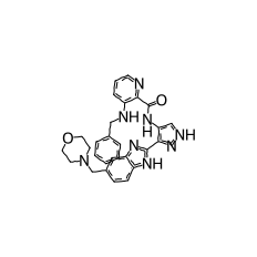 O=C(Nc1c[nH]nc1-c1nc2cc(CN3CCOCC3)ccc2[nH]1)c1ncccc1NCc1ccccc1